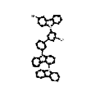 N#Cc1cc(-c2cccc(-n3c4ccccc4c4c(-n5c6ccccc6c6ccccc65)cccc43)c2)cc(-n2c3ccccc3c3cc(C#N)ccc32)c1